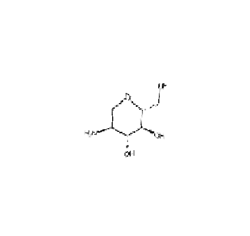 N[C@H]1[CH]O[C@H](CO)[C@@H](O)[C@@H]1O